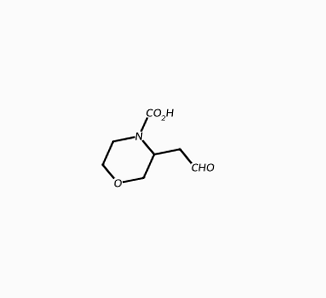 O=CCC1COCCN1C(=O)O